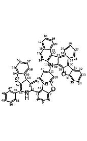 C=C1C(c2cccc3oc4cc(-n5c6ccc7ccccc7c6c6c7ccccc7c7c8ccccc8oc7c65)ccc4c23)NC(c2ccccc2)=C2Sc3ccccc3C12